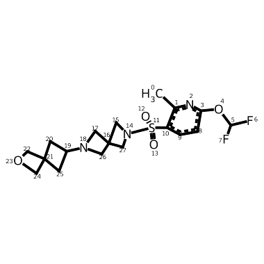 Cc1nc(OC(F)F)ccc1S(=O)(=O)N1CC2(CN(C3CC4(COC4)C3)C2)C1